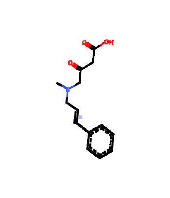 CN(C/C=C/c1ccccc1)CC(=O)CC(=O)O